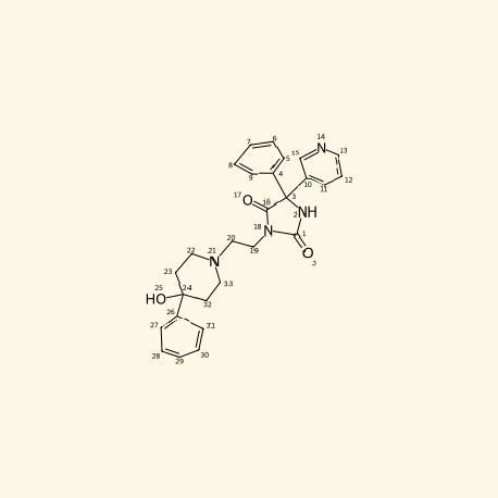 O=C1NC(c2ccccc2)(c2cccnc2)C(=O)N1CCN1CCC(O)(c2ccccc2)CC1